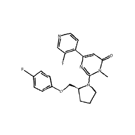 Cn1c(N2CCC[C@H]2COc2ccc(F)cc2)nc(-c2ccncc2F)cc1=O